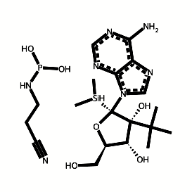 C[SiH](C)[C@@]1(n2cnc3c(N)ncnc32)O[C@H](CO)[C@@H](O)[C@]1(O)C(C)(C)C.N#CCCNP(O)O